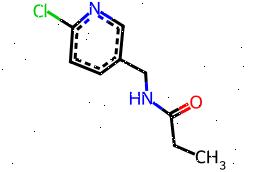 CCC(=O)NCc1ccc(Cl)nc1